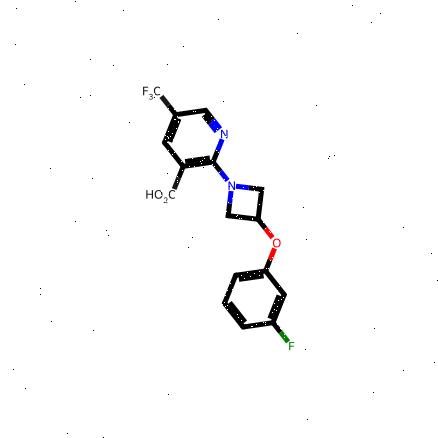 O=C(O)c1cc(C(F)(F)F)cnc1N1CC(Oc2cccc(F)c2)C1